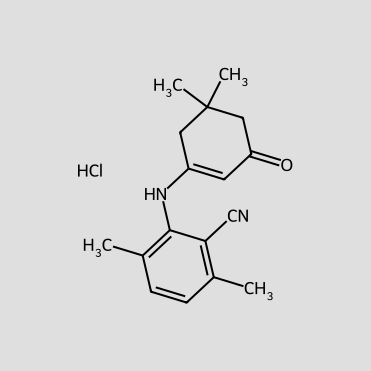 Cc1ccc(C)c(NC2=CC(=O)CC(C)(C)C2)c1C#N.Cl